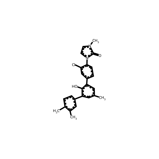 Cc1cc(-c2ccc(C)c(C)c2)c(O)c(-c2ccc(-n3ccn(C)c3=O)c(Cl)c2)c1